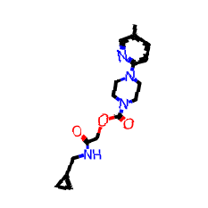 Cc1ccc(N2CCN(C(=O)OCC(=O)NCC3CC3)CC2)nc1